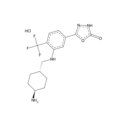 Cl.N[C@H]1CC[C@H](CNc2cc(-c3n[nH]c(=O)o3)ccc2C(F)(F)F)CC1